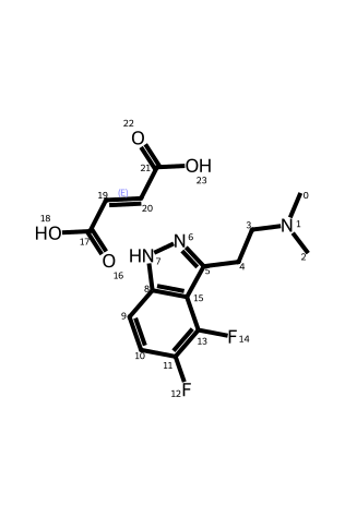 CN(C)CCc1n[nH]c2ccc(F)c(F)c12.O=C(O)/C=C/C(=O)O